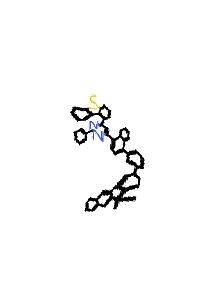 CC1(C)c2ccc(-c3cccc(-c4ccc(-c5cc(-c6cccc7sc8ccccc8c67)nc(-c6ccccc6)n5)c5ccccc45)c3)cc2-c2cc3ccccc3cc21